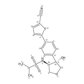 CC(C)S(=O)(=O)N[C@@H]1COC[C@]1(O)c1ccc(-c2ccc(C#N)s2)cc1